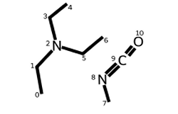 CCN(CC)CC.CN=C=O